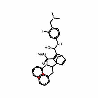 COC(=O)C1=C(C(O)Nc2ccc(CN(C)C)c(F)c2)C2C=CC1(C(Cc1ccccc1)Nc1ccccc1)O2